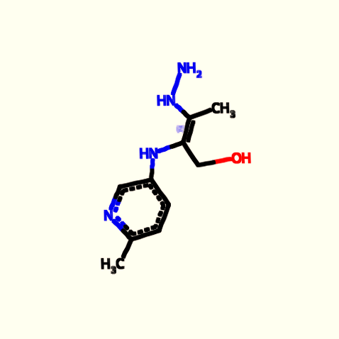 C/C(NN)=C(\CO)Nc1ccc(C)nc1